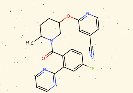 CC1CCC(Oc2cc(C#N)ccn2)CN1C(=O)c1ccc(F)cc1-c1ncccn1